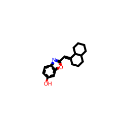 Oc1ccc2nc(C=C3CCCC4CCCCC34)oc2c1